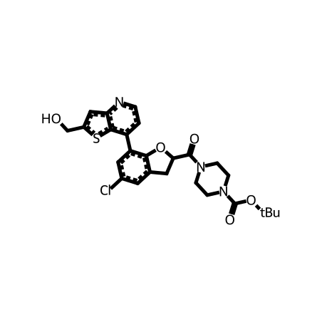 CC(C)(C)OC(=O)N1CCN(C(=O)C2Cc3cc(Cl)cc(-c4ccnc5cc(CO)sc45)c3O2)CC1